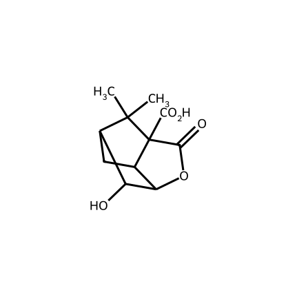 CC1(C)C2CC3C(OC(=O)C31C(=O)O)C2O